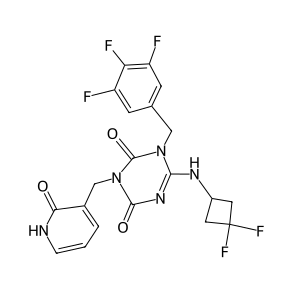 O=c1[nH]cccc1Cn1c(=O)nc(NC2CC(F)(F)C2)n(Cc2cc(F)c(F)c(F)c2)c1=O